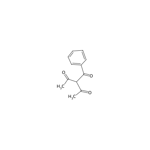 CC(=O)C(C(C)=O)C(=O)c1ccccc1